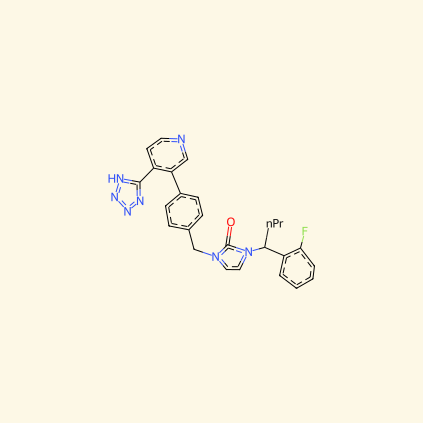 CCCC(c1ccccc1F)n1ccn(Cc2ccc(-c3cnccc3-c3nnn[nH]3)cc2)c1=O